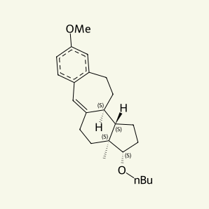 CCCCO[C@H]1CC[C@H]2[C@@H]3CCc4cc(OC)ccc4C=C3CC[C@]12C